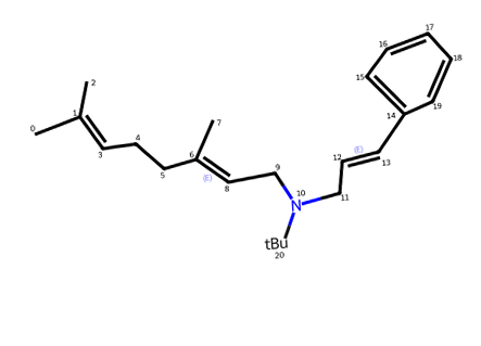 CC(C)=CCC/C(C)=C/CN(C/C=C/c1ccccc1)C(C)(C)C